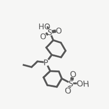 CCCP(C1CCCC(S(=O)(=O)O)C1)C1CCCC(S(=O)(=O)O)C1